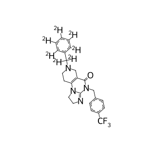 [2H]c1c([2H])c([2H])c(C([2H])([2H])N2CCC3=C(C2)C(=O)N(Cc2ccc(C(F)(F)F)cc2)C2=NCCN23)c([2H])c1[2H]